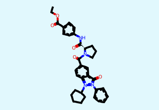 CCOC(=O)c1ccc(NC(=O)[C@@H]2CCCN2C(=O)c2ccc3c(c2)c(=O)n(-c2ccccc2)n3C2CCCCC2)cc1